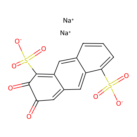 O=C1C=c2cc3c(S(=O)(=O)[O-])cccc3cc2=C(S(=O)(=O)[O-])C1=O.[Na+].[Na+]